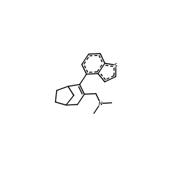 CN(C)CC1=C(c2cccc3sccc23)C2CCC(C1)C2